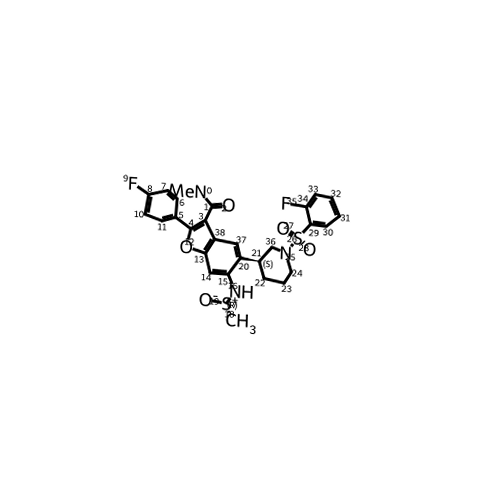 CNC(=O)c1c(-c2ccc(F)cc2)oc2cc(N[S@+](C)[O-])c([C@@H]3CCCN(S(=O)(=O)c4ccccc4F)C3)cc12